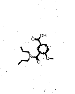 CCCN(CCC)C(=O)c1cc(C(=O)O)ccc1OC